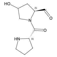 O=[C][C@@H]1CC(O)CN1C(=O)[C@@H]1CCCN1